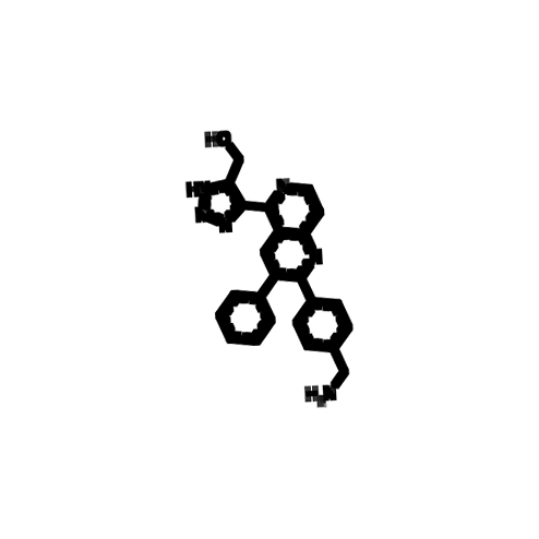 NCc1ccc(-c2nc3ccnc(-c4nn[nH]c4CO)c3cc2-c2ccccc2)cc1